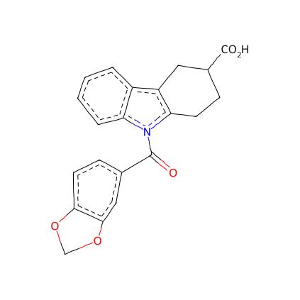 O=C(O)C1CCc2c(c3ccccc3n2C(=O)c2ccc3c(c2)OCO3)C1